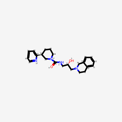 O=C(NC[C@H](O)CN1CCc2ccccc2C1)N1CCC[C@H](c2ccccn2)C1